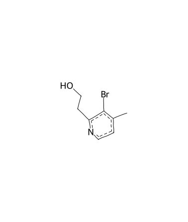 Cc1ccnc(CCO)c1Br